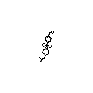 CC(C)CN1CCN(S(=O)(=O)c2ccc(C=O)cc2)CC1